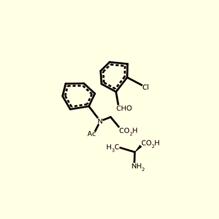 CC(=O)N(CC(=O)O)c1ccccc1.C[C@H](N)C(=O)O.O=Cc1ccccc1Cl